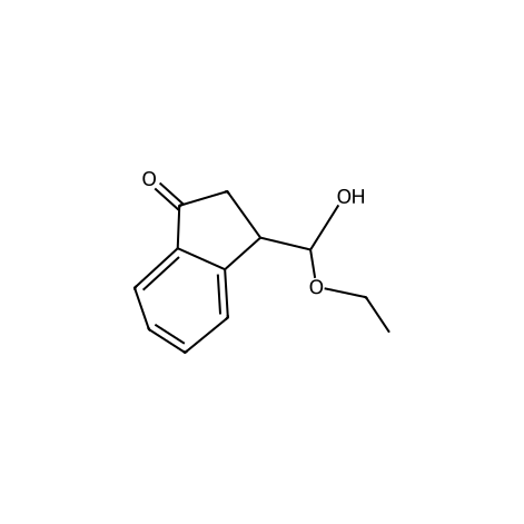 CCOC(O)C1CC(=O)c2ccccc21